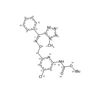 Cn1nnnc1/C(=N\OCc1cc(Cl)cc(NC(=O)OC(C)(C)C)n1)c1ccccc1